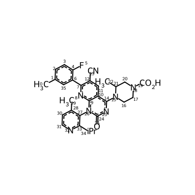 Cc1ccc(F)c(-c2nc3c(cc2C#N)c(N2CCN(C(=O)O)CC2C)nc(=O)n3-c2c(C)ccnc2C(C)C)c1